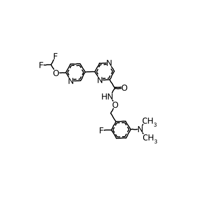 CN(C)c1ccc(F)c(CONC(=O)c2cncc(-c3ccc(OC(F)F)nc3)n2)c1